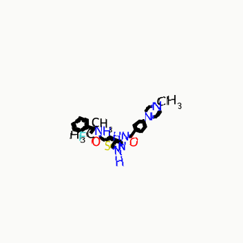 CN1CCN(c2ccc(C(=O)Nc3n[nH]c4sc(C(=O)NC(C)(C)c5ccccc5F)cc34)cc2)CC1